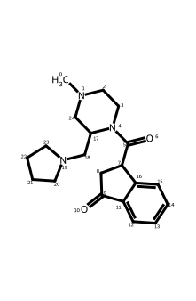 CN1CCN(C(=O)C2CC(=O)c3ccccc32)C(CN2CCCC2)C1